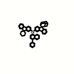 c1ccc(-c2ccc(N(c3ccc4c(c3)-c3ccccc3C43C4CC5CC(C4)CC3C5)c3ccc4c(c3)C3(CCCCC3)c3ccccc3-4)c3ccccc23)cc1